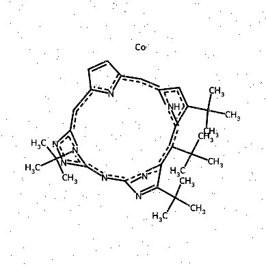 CC(C)(C)C1=Nc2nc1c(C(C)(C)C)c1[nH]c(cc3nc(cc4nnc(n2)n4C(C)(C)C)C=C3)cc1C(C)(C)C.[Co]